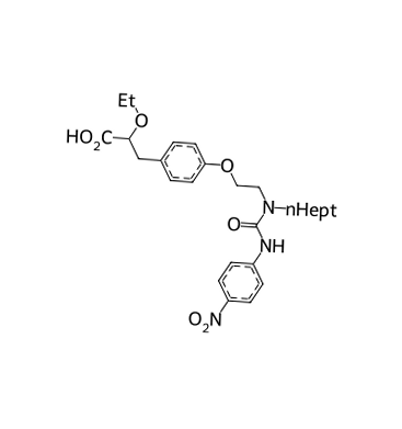 CCCCCCCN(CCOc1ccc(CC(OCC)C(=O)O)cc1)C(=O)Nc1ccc([N+](=O)[O-])cc1